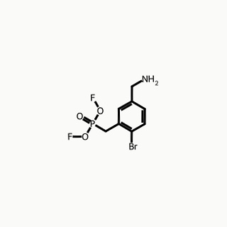 NCc1ccc(Br)c(CP(=O)(OF)OF)c1